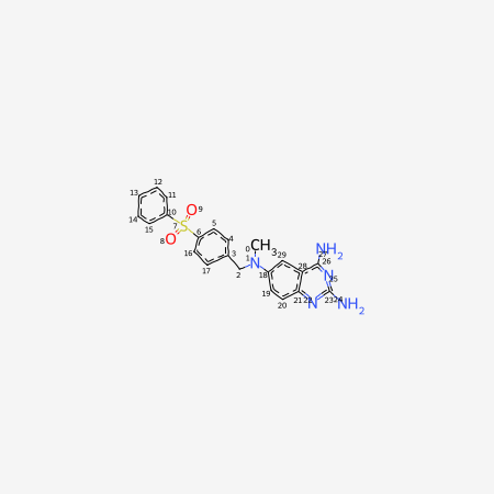 CN(Cc1ccc(S(=O)(=O)c2ccccc2)cc1)c1ccc2nc(N)nc(N)c2c1